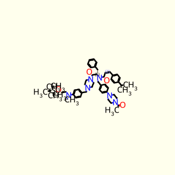 CC(=O)N1CCN(c2ccc(CN(C(=O)/C=C\c3ccc(C(C)C)cc3)[C@@H](Cc3ccccc3)C(=O)N3CCN(Cc4ccc(N(C)CCO[Si](C)(C)C(C)(C)C)cc4)CC3)cc2)CC1